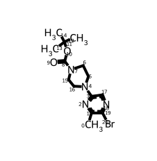 Cc1nc(N2CCN(C(=O)OC(C)(C)C)CC2)cnc1Br